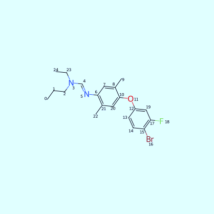 CCCN(/C=N/c1cc(C)c(Oc2ccc(Br)c(F)c2)cc1C)CC